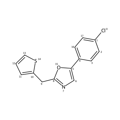 Clc1ccc(-c2cnc(Cc3cccs3)o2)cc1